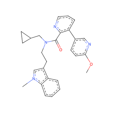 COc1ccc(-c2cccnc2C(=O)N(CCc2cn(C)c3ccccc23)CC2CC2)cn1